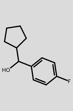 OC(c1ccc(F)cc1)C1CCCC1